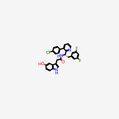 O=C(Cc1c[nH]c2ccc(O)cc12)N[C@@H](Cc1cc(F)cc(F)c1)c1ncccc1-c1ccc(Cl)cc1